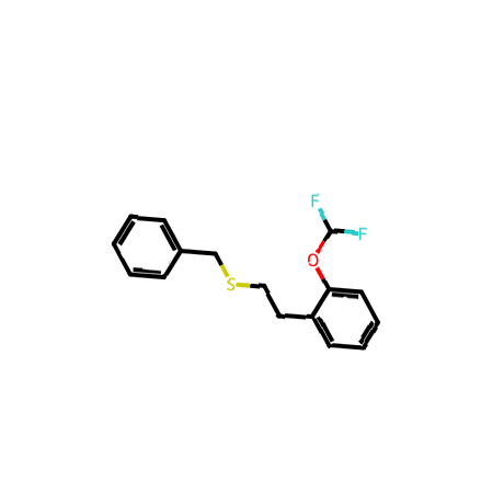 FC(F)Oc1ccccc1CCSCc1ccccc1